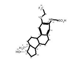 C[C@]12CCC3c4cc(OCC(F)(F)F)c(NS(=O)(=O)O)cc4CCC3C1CC[C@@H]2O